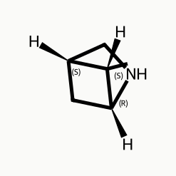 C[C@H]1[C@H]2CN[C@@H]1C2